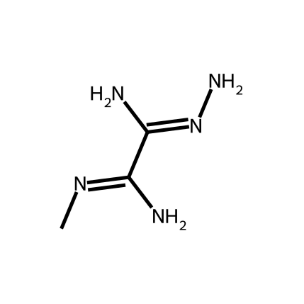 C/N=C(N)/C(N)=N/N